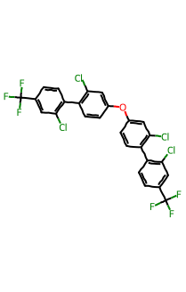 FC(F)(F)c1ccc(-c2ccc(Oc3ccc(-c4ccc(C(F)(F)F)cc4Cl)c(Cl)c3)cc2Cl)c(Cl)c1